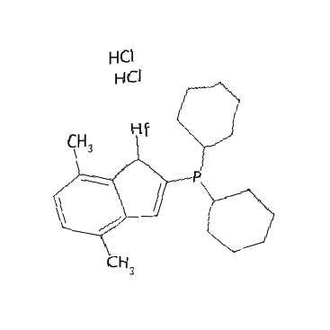 Cc1ccc(C)c2c1C=C(P(C1CCCCC1)C1CCCCC1)[CH]2[Hf].Cl.Cl